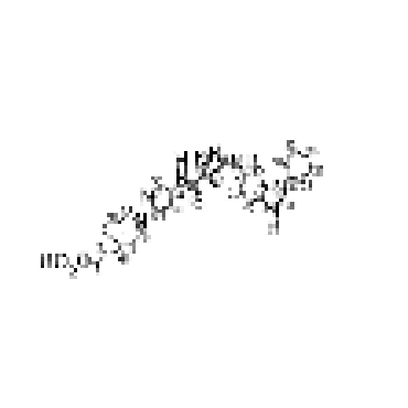 O=C(O)CC1CC2(CCN(c3ccc(NC(=S)c4nnc(Nc5ccc6c(c5)N(c5ccccc5)CN6)o4)cn3)CC2)C1